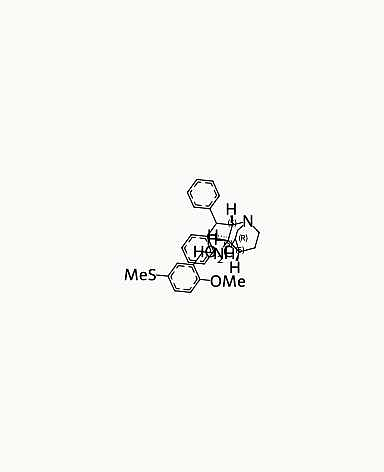 COc1ccc(SC)cc1CN[C@H]1[C@H]2CCN(C[C@@H]2C(=O)O)[C@H]1C(c1ccccc1)c1ccccc1